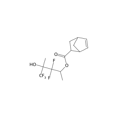 CC(OC(=O)C1CC2C=CC1C2)C(F)(F)C(C)(O)C(F)(F)F